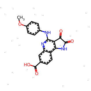 COc1ccc(Nc2nc3cc(C(=O)O)ccc3c3c2C(=O)C(=O)N3)cc1